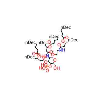 CCCCCCCCCCCCCC(=O)O[C@H](CCCCCCCCCCC)CC(=O)NCCO[C@@H]1O[C@H](CO)[C@@H](OP(=O)(O)O)[C@H](OC(=O)C[C@@H](CCCCCCCCCCC)OC(=O)CCCCCCCCCCCCC)[C@H]1N(O)C(=O)C[C@@H](CCCCCCCCCCC)OC(=O)CCCCCCCCCCCCC